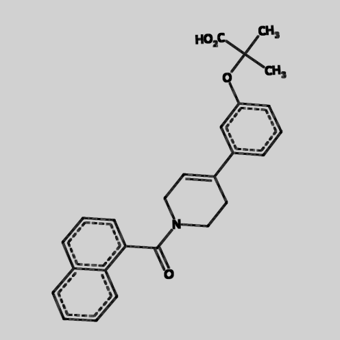 CC(C)(Oc1cccc(C2=CCN(C(=O)c3cccc4ccccc34)CC2)c1)C(=O)O